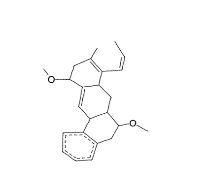 C/C=C\C1=C(C)CC(OC)C2=CC3c4ccccc4CC(OC)C3CC21